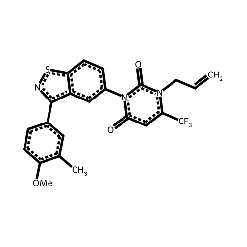 C=CCn1c(C(F)(F)F)cc(=O)n(-c2ccc3snc(-c4ccc(OC)c(C)c4)c3c2)c1=O